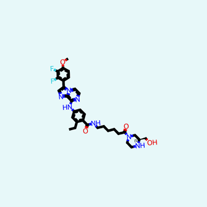 CCc1cc(Nc2nccn3c(-c4ccc(OC)c(F)c4F)cnc23)ccc1C(=O)NCCCCCC(=O)N1CCN[C@H](CO)C1